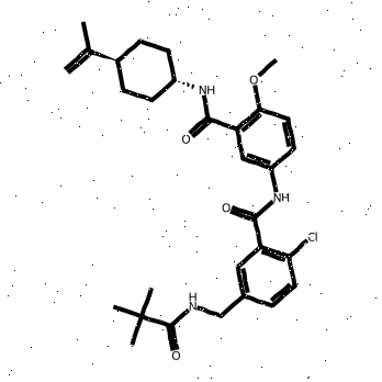 C=C(C)[C@H]1CC[C@H](NC(=O)c2cc(NC(=O)c3cc(CNC(=O)C(C)(C)C)ccc3Cl)ccc2OC)CC1